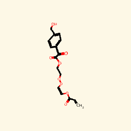 C=CC(=O)O/C=C\OOCCOC(=O)C(=O)c1ccc(CO)cc1